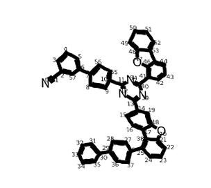 N#Cc1cccc(-c2ccc(-c3nc(-c4ccc5c(c4)oc4cccc(-c6ccc(-c7ccccc7)cc6)c45)nc(-c4cccc5c4oc4ccccc45)n3)cc2)c1